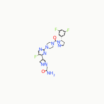 NC(=O)Cn1cc(-c2nc(N3CCN(C(=O)N4N=CC[C@H]4c4cc(F)cc(F)c4)CC3)ncc2F)cn1